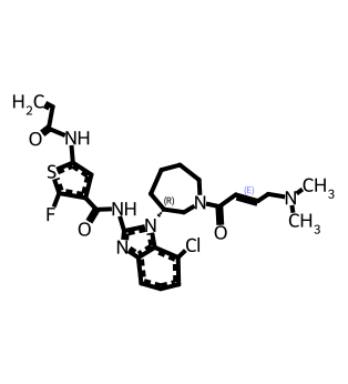 C=CC(=O)Nc1cc(C(=O)Nc2nc3cccc(Cl)c3n2[C@@H]2CCCCN(C(=O)/C=C/CN(C)C)C2)c(F)s1